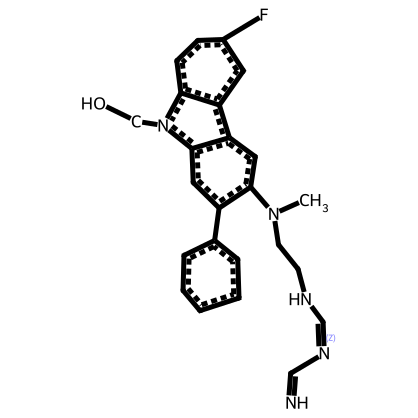 CN(CCN/C=N\C=N)c1cc2c3cc(F)ccc3n(CO)c2cc1-c1ccccc1